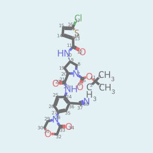 CC(C)(C)OC(=O)N1C[C@@H](NC(=O)c2ccc(Cl)s2)CC1C(=O)Nc1ccc(N2CCOCC2=O)cc1C#N